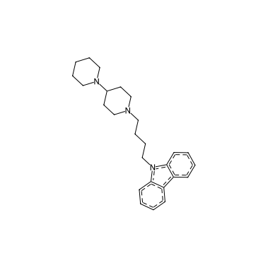 c1ccc2c(c1)c1ccccc1n2CCCCN1CCC(N2CCCCC2)CC1